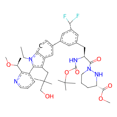 CCn1c(-c2cccnc2[C@H](C)OC)c(CC(C)(C)CO)c2cc(-c3cc(C[C@H](NC(=O)OC(C)(C)C)C(=O)N4CCC[C@@H](C(=O)OC)N4)cc(C(F)F)c3)ccc21